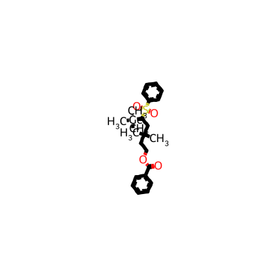 CC(C)(CCOC(=O)c1ccccc1)C[CH](S(=O)(=O)c1ccccc1)[Ge]([CH3])([CH3])[CH3]